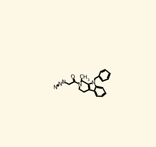 CC1c2c(c3ccccc3n2Cc2ccccc2)CCN1C(=O)CN=[N+]=[N-]